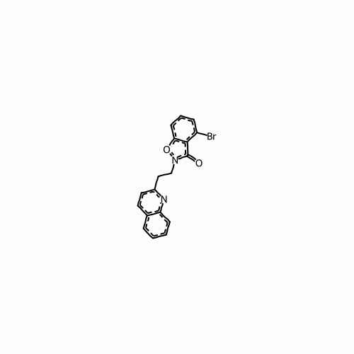 O=c1c2c(Br)cccc2on1CCc1ccc2ccccc2n1